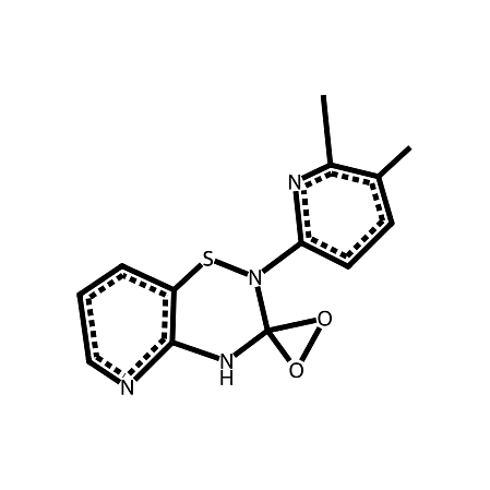 Cc1ccc(N2Sc3cccnc3NC23OO3)nc1C